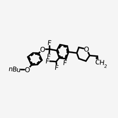 C=CC1CCC(c2ccc(C(F)(F)Oc3ccc(OCCCC)cc3)c(C(F)F)c2F)CO1